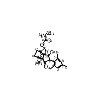 Cc1cc(C)c(C2C(=O)[C@H]3[C@@H]4CC[C@@](COC(=O)NC(C)(C)C)(O4)[C@H]3C2=O)c(C)c1